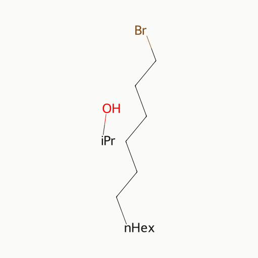 CC(C)O.CCCCCCCCCCCCBr